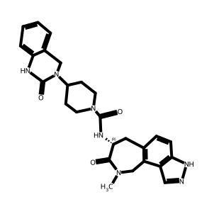 CN1Cc2c(ccc3[nH]ncc23)C[C@@H](NC(=O)N2CCC(N3Cc4ccccc4NC3=O)CC2)C1=O